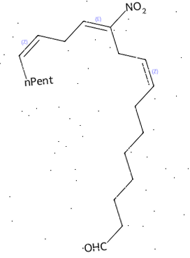 CCCCC/C=C\C/C=C(\C/C=C\CCCCCC[C]=O)[N+](=O)[O-]